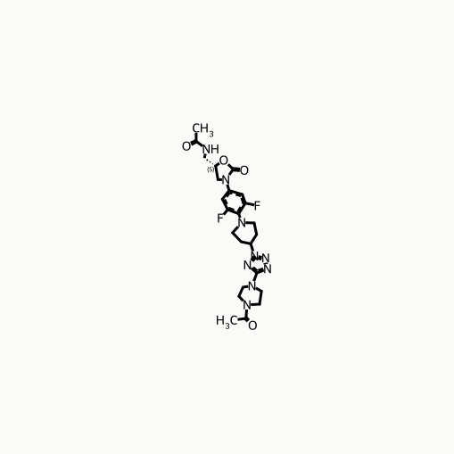 CC(=O)NC[C@H]1CN(c2cc(F)c(N3CCC(n4nnc(N5CCN(C(C)=O)CC5)n4)CC3)c(F)c2)C(=O)O1